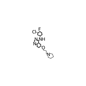 Fc1ccc(Nc2ncnc3ccc(OCCCN4CCCCC4)cc23)cc1Cl